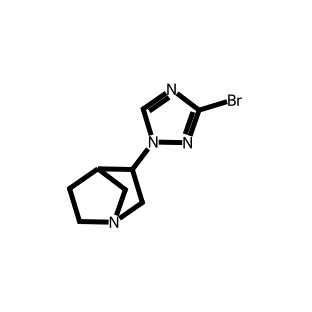 Brc1ncn(C2CN3CCC2C3)n1